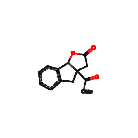 COC(=O)C12CC(=O)OC1c1ccccc1C2